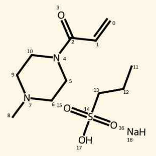 C=CC(=O)N1CCN(C)CC1.CCCS(=O)(=O)O.[NaH]